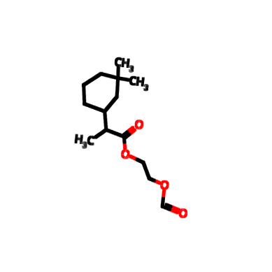 CC(C(=O)OCCOC=O)C1CCCC(C)(C)C1